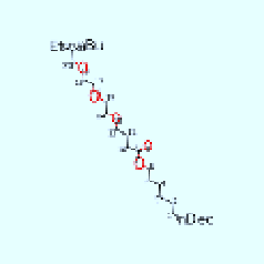 CCCCCCCCCCCCCCCCOC(=O)CCCOCCOCCOCC(CC)CCCC